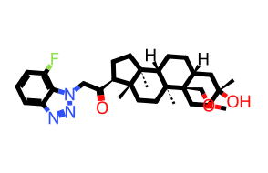 COC[C@]12CC[C@@](C)(O)C[C@H]1CC[C@@H]1[C@]2(C)CC[C@]2(C)[C@@H](C(=O)Cn3nnc4cccc(F)c43)CC[C@@]12C